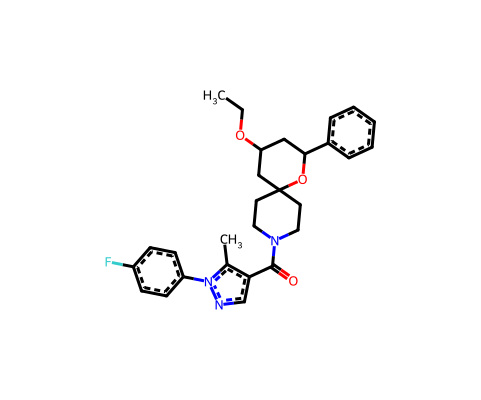 CCOC1CC(c2ccccc2)OC2(CCN(C(=O)c3cnn(-c4ccc(F)cc4)c3C)CC2)C1